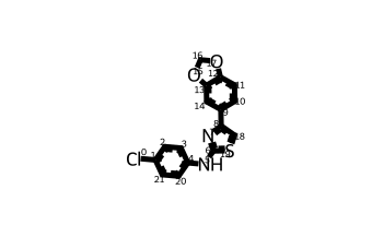 Clc1ccc(Nc2nc(-c3ccc4c(c3)OCO4)cs2)cc1